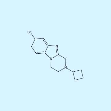 BrC1C=c2nc3n(c2=CC1)CCN(C1CCC1)C3